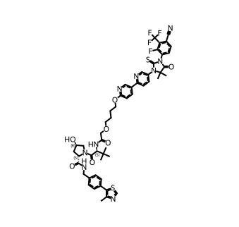 Cc1ncsc1-c1ccc(CNC(=O)[C@@H]2C[C@@H](O)CN2C(=O)[C@@H](NC(=O)COCCCCOc2ccc(-c3ccc(N4C(=S)N(c5ccc(C#N)c(C(F)(F)F)c5F)C(=O)C4(C)C)cn3)cn2)C(C)(C)C)cc1